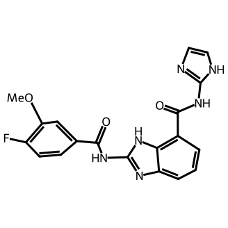 COc1cc(C(=O)Nc2nc3cccc(C(=O)Nc4ncc[nH]4)c3[nH]2)ccc1F